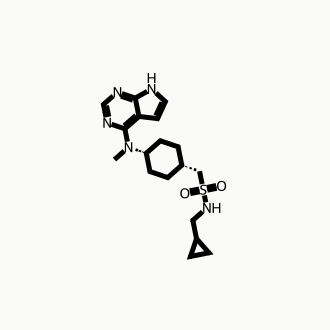 CN(c1ncnc2[nH]ccc12)[C@H]1CC[C@@H](CS(=O)(=O)NCC2CC2)CC1